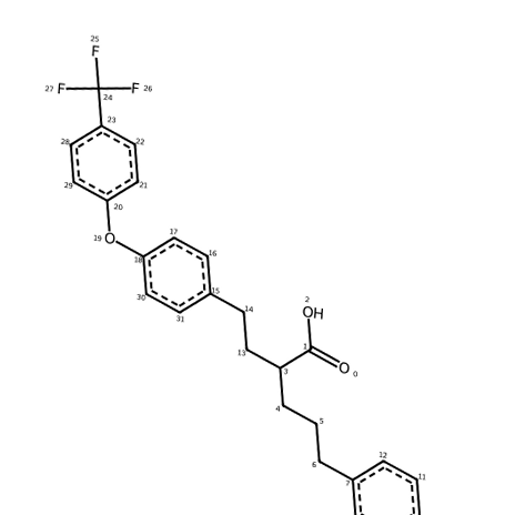 O=C(O)C(CCCc1ccccc1)CCc1ccc(Oc2ccc(C(F)(F)F)cc2)cc1